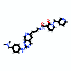 CN(C)Cc1ccc(Nc2ncc3cc(C=CCNC(=O)c4cccn(Cc5cccnc5)c4=O)ncc3n2)cc1